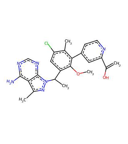 C=C(O)c1cc(-c2c(C)c(Cl)cc(C(C)n3nc(C)c4c(N)ncnc43)c2OC)ccn1